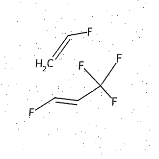 C=CF.F/C=C/C(F)(F)F